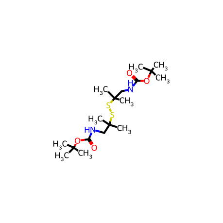 CC(C)(C)OC(=O)NCC(C)(C)SSC(C)(C)CNC(=O)OC(C)(C)C